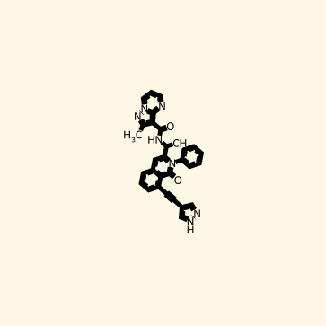 Cc1nn2cccnc2c1C(=O)NC(C)c1cc2cccc(C#Cc3cn[nH]c3)c2c(=O)n1-c1ccccc1